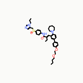 CCCCOCCOc1ccc(-c2ccc(N3CCCCCC3)c(/C=C(\CC)C(=O)Nc3ccc([S+]([O-])Cc4cncn4CCC)cc3)c2)cc1